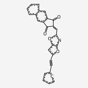 O=C1C(=Cc2nc3oc(C#Cc4ccccc4)cc3o2)C(=O)c2cc3ccccc3cc21